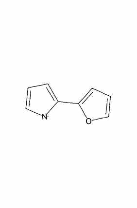 C1=C[N]C(c2ccco2)=C1